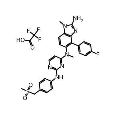 CN(c1ccnc(Nc2ccc(CS(C)(=O)=O)cc2)n1)c1ccc2c(nc(N)n2C)c1-c1ccc(F)cc1.O=C(O)C(F)(F)F